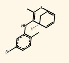 CC1=C(Nc2cc(Br)ccc2C)[C@@H]2C=CC=C(C2)S1